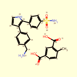 Cc1ccc(C(=O)O)cc1C(=O)O.NCc1ccc(-c2cc[nH]c2-c2ccc(S(N)(=O)=O)cc2)cc1